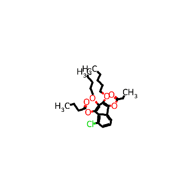 CCCCCOc1c(OCCCCC)c(OC(=O)CCC)c2c(Cl)cccc2c1OC(=O)CC